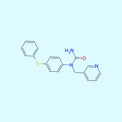 NC(=O)N(Cc1cccnc1)c1ccc(Sc2ccccc2)cc1